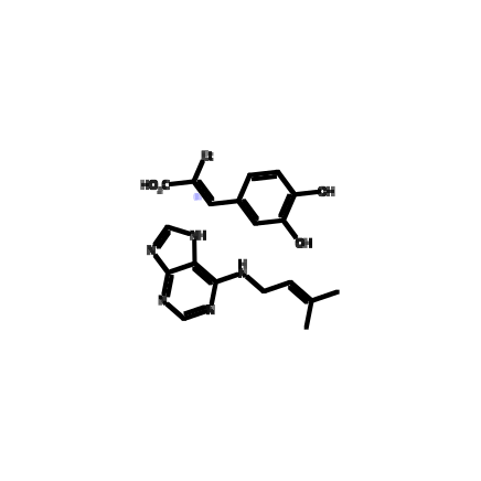 CC(C)=CCNc1ncnc2nc[nH]c12.CC/C(=C\c1ccc(O)c(O)c1)C(=O)O